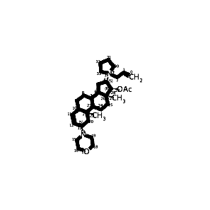 C=CC[N+]1([C@H]2CC3C4CCC5C=C[C@@H](N6CCOCC6)C[C@]5(C)C4CC[C@]3(C)[C@H]2OC(C)=O)CCCC1